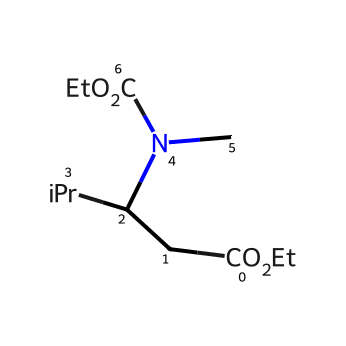 CCOC(=O)CC(C(C)C)N(C)C(=O)OCC